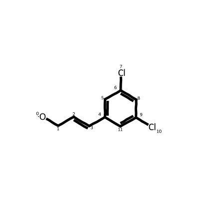 [O]CC=Cc1cc(Cl)cc(Cl)c1